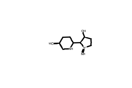 N=[N+]1CCC(O)C1C1CCC(O)CN1